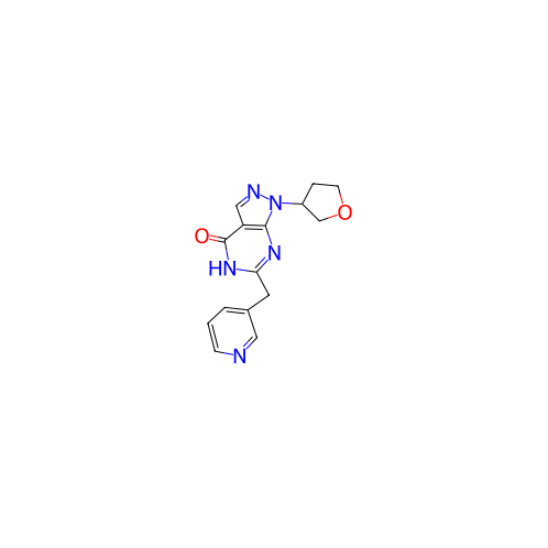 O=c1[nH]c(Cc2cccnc2)nc2c1cnn2C1CCOC1